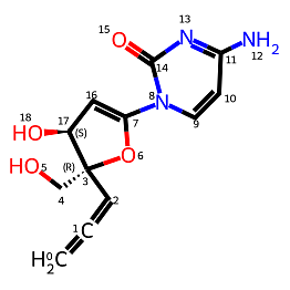 C=C=C[C@]1(CO)OC(n2ccc(N)nc2=O)=C[C@@H]1O